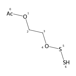 CC(=O)OCCOSS